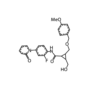 COc1ccc(COCC2C(CO)C2C(=O)Nc2ccc(-n3ccccc3=O)cc2F)cc1